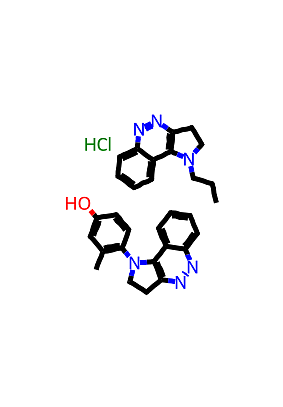 CCCN1CCc2nnc3ccccc3c21.Cc1cc(O)ccc1N1CCc2nnc3ccccc3c21.Cl